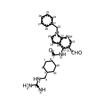 N=C(N)NC[C@H]1CC[C@H](C(=O)Nc2c(C=O)cnc3c2ccn3Cc2ccccc2)CC1